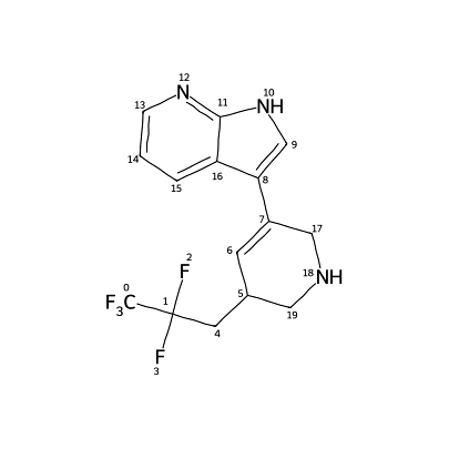 FC(F)(F)C(F)(F)CC1C=C(c2c[nH]c3ncccc23)CNC1